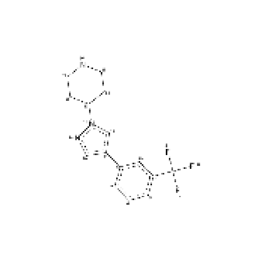 FC(F)(F)c1cccc(-c2cnn(C3CC[N]CC3)c2)c1